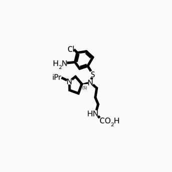 CC(C)N1CC[C@H](N(CCCNC(=O)O)Sc2ccc(Cl)c(N)c2)C1